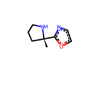 C[C@@]1(c2ncco2)CCCN1